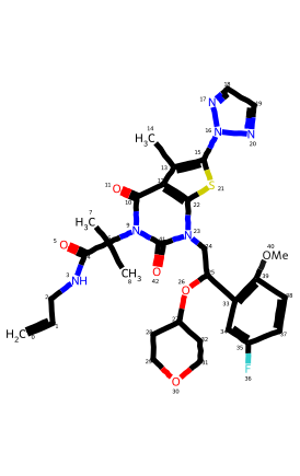 C=CCNC(=O)C(C)(C)n1c(=O)c2c(C)c(-n3nccn3)sc2n(CC(OC2CCOCC2)c2cc(F)ccc2OC)c1=O